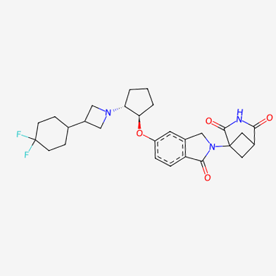 O=C1NC(=O)C2(N3Cc4cc(O[C@@H]5CCC[C@H]5N5CC(C6CCC(F)(F)CC6)C5)ccc4C3=O)CC1C2